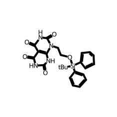 CC(C)(C)[Si](OCCn1c(=O)[nH]c(=O)c2c(=O)[nH]c(=O)[nH]c21)(c1ccccc1)c1ccccc1